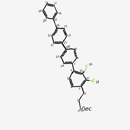 CCCCCCCCCCCCc1ccc(-c2ccc(-c3ccc(-c4ccccc4)cc3)cc2)c(F)c1F